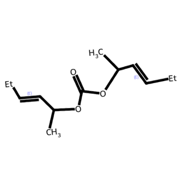 CC/C=C/C(C)OC(=O)OC(C)/C=C/CC